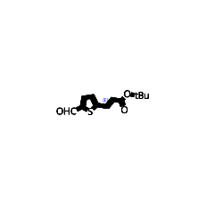 CC(C)(C)OC(=O)/C=C/c1ccc(C=O)s1